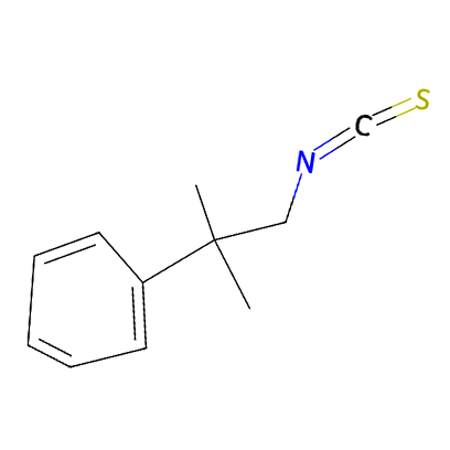 CC(C)(CN=C=S)c1ccccc1